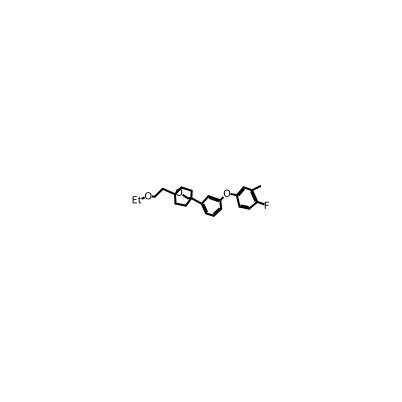 CCOCCC12CCC(c3cccc(Oc4ccc(F)c(C)c4)c3)(CC1)CO2